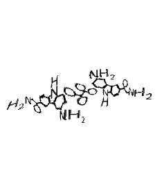 NCC(=O)c1ccc2[nH]c3c(c2c1)CC(N)CC3OC(=O)C(=O)OC1CC(N)Cc2c1[nH]c1ccc(C(=O)CN)cc21